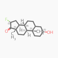 C[C@]12CC[C@H](O)CC1CC[C@@H]1[C@@H]2CC[C@]2(C)C(=O)[C@@H](F)C[C@@H]12